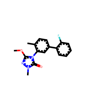 COc1nn(C)c(=O)n1-c1cc(-c2ccccc2F)ccc1C